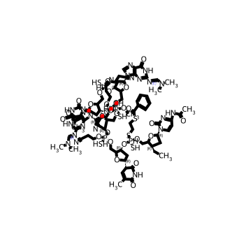 CC[C@@H]1C[C@H](n2ccc(NC(C)=O)nc2=O)OC1CO[PH](S)(O[C@@H]1C[C@H](C2C=C(C)C(=O)NC2=O)OC1CO[PH](S)(OCCC#N)O[C@@H]1C[C@H](n2cnc3c(=O)[nH]c(/N=C/N(C)C)nc32)OC1CO[PH](S)(OCCC#N)O[C@@H]1C[C@H](n2cc(C)c(=O)[nH]c2=O)OC1CO[PH](S)(OCCC#N)O[C@@H]1C[C@H](n2cnc3c(=O)[nH]c(/N=C/N(C)C)nc32)OC1CO[PH](S)(OC)OCCC#N)SCCSC(=O)c1ccccc1